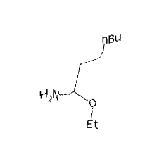 [CH2]CCCCCC(N)OCC